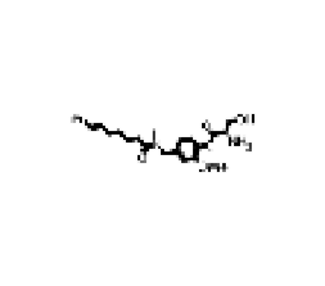 COc1cc(CNC(=O)CCCC/C=C/C(C)C)ccc1OC(=O)[C@@H](N)CO